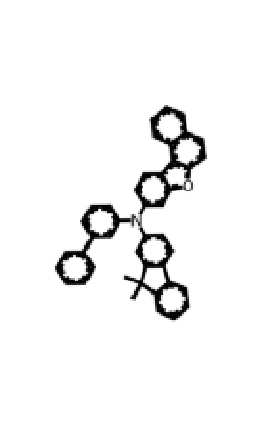 CC1(C)c2ccccc2-c2ccc(N(c3cccc(-c4ccccc4)c3)c3ccc4c(c3)oc3ccc5ccccc5c34)cc21